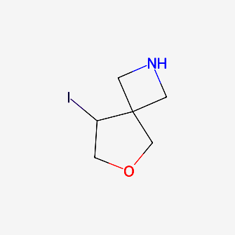 IC1COCC12CNC2